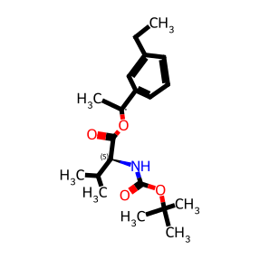 CCc1cccc([C](C)OC(=O)[C@@H](NC(=O)OC(C)(C)C)C(C)C)c1